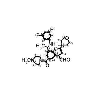 CC(Nc1cc(F)cc(F)c1)c1cc(C(=O)N2CCN(C)CC2)cc2c1OC(N1CCOCC1)=CC2C=O